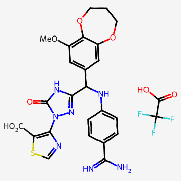 COc1cc(C(Nc2ccc(C(=N)N)cc2)c2nn(-c3ncsc3C(=O)O)c(=O)[nH]2)cc2c1OCCCO2.O=C(O)C(F)(F)F